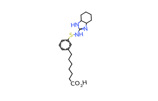 O=C(O)CCCCCCc1cccc(SNC2=NC3CCCCC3N2)c1